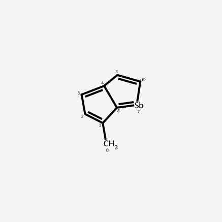 CC1=CC=C2C=[C][Sb]=[C]12